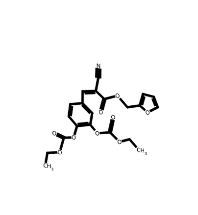 CCOC(=O)Oc1ccc(C=C(C#N)C(=O)OCc2ccco2)cc1OC(=O)OCC